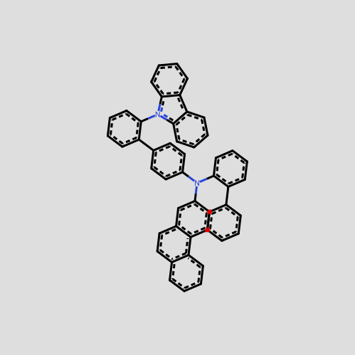 c1ccc(-c2ccccc2N(c2ccc(-c3ccccc3-n3c4ccccc4c4ccccc43)cc2)c2ccc3c(ccc4ccccc43)c2)cc1